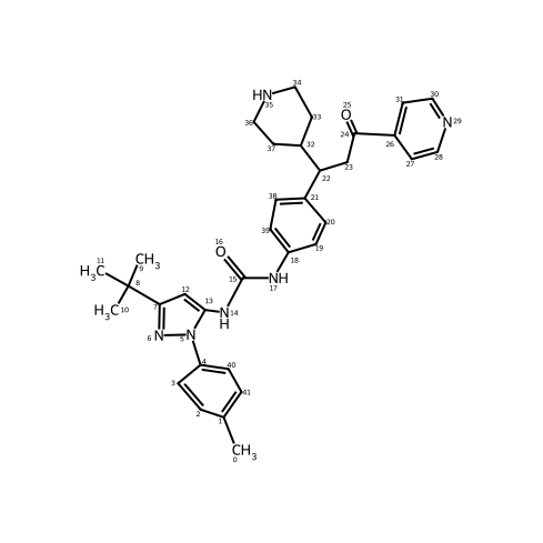 Cc1ccc(-n2nc(C(C)(C)C)cc2NC(=O)Nc2ccc(C(CC(=O)c3ccncc3)C3CCNCC3)cc2)cc1